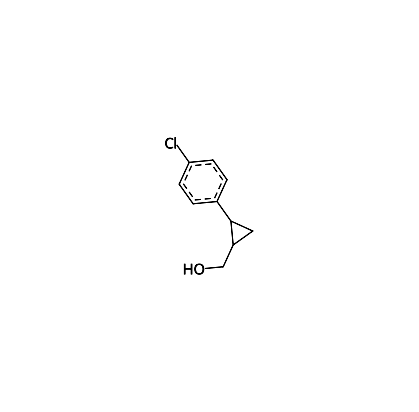 OCC1CC1c1ccc(Cl)cc1